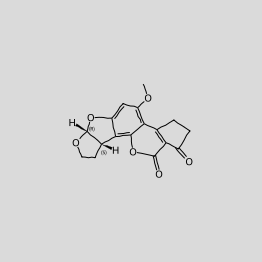 COc1cc2c(c3oc(=O)c4c(c13)CCC4=O)[C@@H]1CCO[C@@H]1O2